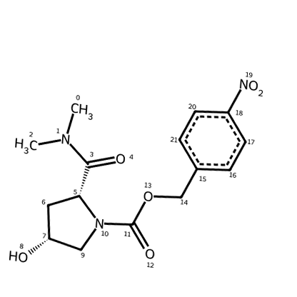 CN(C)C(=O)[C@H]1C[C@@H](O)CN1C(=O)OCc1ccc([N+](=O)[O-])cc1